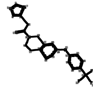 O=C(Cc1cocn1)N1CCc2ccc(Oc3ccc(C(F)(F)F)cc3)cc2C1